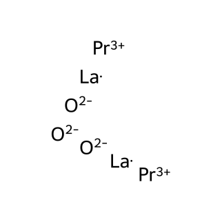 [La].[La].[O-2].[O-2].[O-2].[Pr+3].[Pr+3]